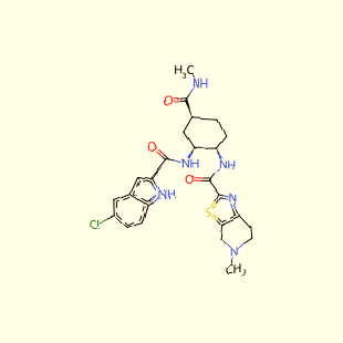 CNC(=O)[C@H]1CC[C@@H](NC(=O)c2nc3c(s2)CN(C)CC3)[C@@H](NC(=O)c2cc3cc(Cl)ccc3[nH]2)C1